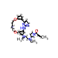 CC#CC(=O)N1CCC(N(C)CCN(C)c2cc3cc(c2)Nc2nccc(n2)-c2cccc(c2)OCC/C=C/COC3)C1